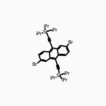 CC(C)[Si](C#Cc1c2ccc(Br)cc2c(C#C[Si](C(C)C)(C(C)C)C(C)C)c2ccc(Br)cc12)(C(C)C)C(C)C